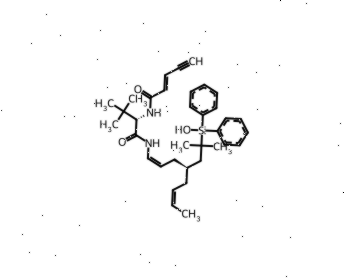 C#C/C=C/C(=O)N[C@H](C(=O)N/C=C\C[C@H](C/C=C\C)CC(C)(C)[Si](O)(c1ccccc1)c1ccccc1)C(C)(C)C